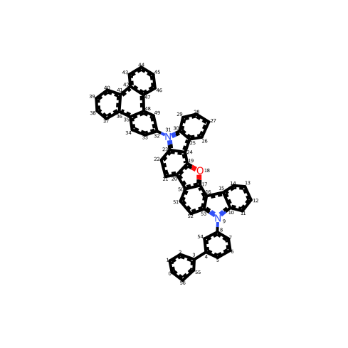 c1ccc(-c2cccc(-n3c4ccccc4c4c5oc6c(ccc7c6c6ccccc6n7-c6ccc7c8ccccc8c8ccccc8c7c6)c5ccc43)c2)cc1